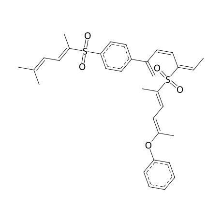 C=C(/C=C\C(=C/C)S(=O)(=O)/C(C)=C/C=C(\C)Oc1ccccc1)c1ccc(S(=O)(=O)/C(C)=C/C=C(C)C)cc1